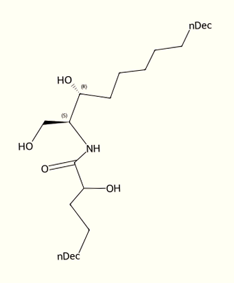 CCCCCCCCCCCCCCC[C@@H](O)[C@H](CO)NC(=O)C(O)CCCCCCCCCCCC